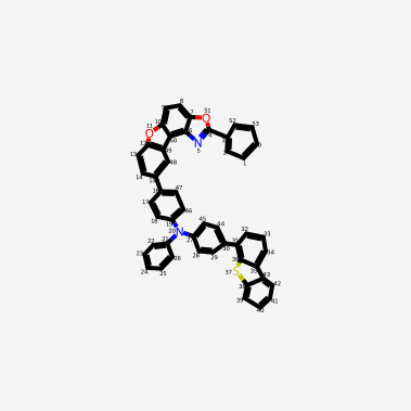 c1ccc(-c2nc3c(ccc4oc5ccc(-c6ccc(N(c7ccccc7)c7ccc(-c8cccc9c8sc8ccccc89)cc7)cc6)cc5c43)o2)cc1